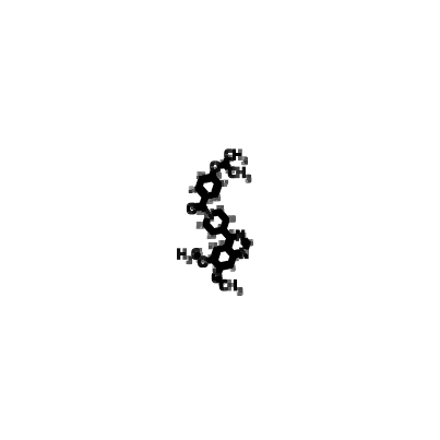 COc1cc2ncnc(C3CCN(C(=O)c4ccc(OC(C)C)cc4)CC3)c2cc1OC